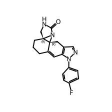 O=C1NC[C@]23CCCC4=Cc5c(cnn5-c5ccc(F)cc5)C[C@@]42N13